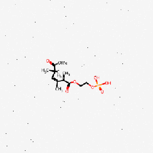 COC(=O)C(C)(C)C=C(C)C(C)C(=O)OCCOP(=O)(O)O